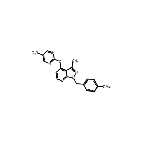 COc1ccc(Cn2nc(C)c3c(Oc4ncc([N+](=O)[O-])cn4)ccnc32)cc1